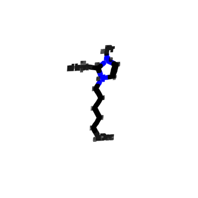 CCCCCCCCCCCCCCCN1C=CN(C(C)C)C1CCCCCCC